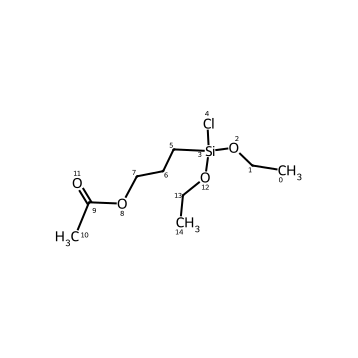 CCO[Si](Cl)(CCCOC(C)=O)OCC